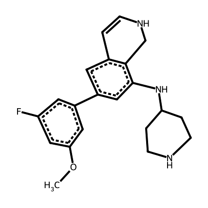 COc1cc(F)cc(-c2cc3c(c(NC4CCNCC4)c2)CNC=C3)c1